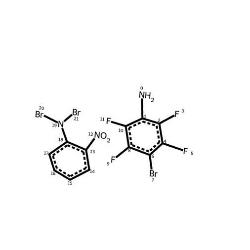 Nc1c(F)c(F)c(Br)c(F)c1F.O=[N+]([O-])c1ccccc1N(Br)Br